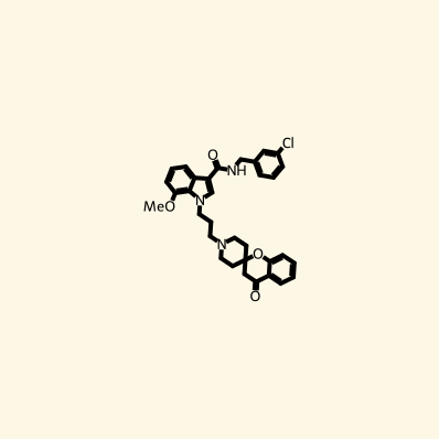 COc1cccc2c(C(=O)NCc3cccc(Cl)c3)cn(CCCN3CCC4(CC3)CC(=O)c3ccccc3O4)c12